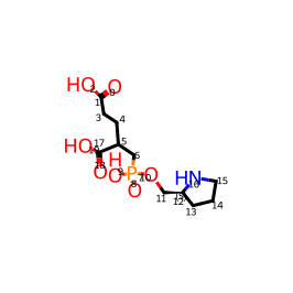 O=C(O)CCC(CP(=O)(O)OC[C@@H]1CCCN1)C(=O)O